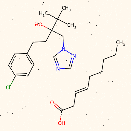 CC(C)(C)C(O)(CCc1ccc(Cl)cc1)Cn1cncn1.CCCCC/C=C/CC(=O)O